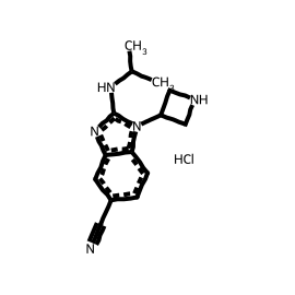 CC(C)Nc1nc2cc(C#N)ccc2n1C1CNC1.Cl